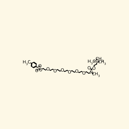 Cc1ccc(S(=O)(=O)OCCOCCOCCOCCOCCOCCOCCN(C)C(=O)OCC[Si](C)(C)C)cc1